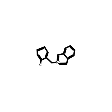 Clc1ccccc1C[n+]1ccc2ccccc2c1